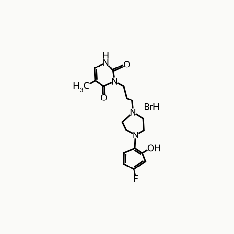 Br.Cc1c[nH]c(=O)n(CCCN2CCN(c3ccc(F)cc3O)CC2)c1=O